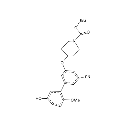 COc1ccc(O)cc1-c1cc(C#N)cc(OC2CCN(C(=O)OC(C)(C)C)CC2)c1